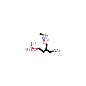 CC(=O)OCC(CCO[PH](=O)O)CON.CCCC